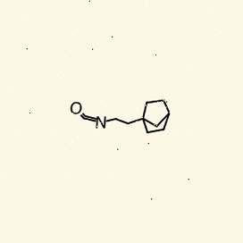 O=C=NCCC12CCC(CC1)C2